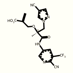 C=C(CO[C@@](C)(Cn1cc(C#N)cn1)C(=O)Nc1cnc(C#N)c(C(F)(F)F)c1)C(=O)O